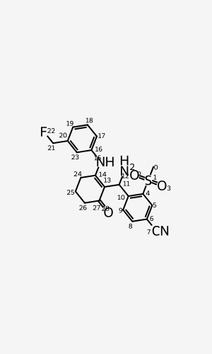 CS(=O)(=O)c1cc(C#N)ccc1C(N)C1=C(Nc2cccc(CF)c2)CCCC1=O